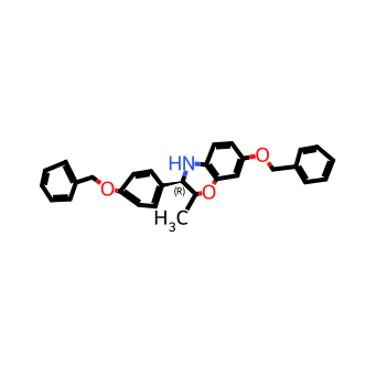 CC1Oc2cc(OCc3ccccc3)ccc2N[C@@H]1c1ccc(OCc2ccccc2)cc1